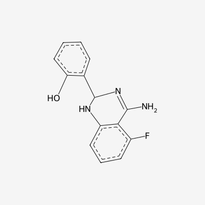 NC1=NC(c2ccccc2O)Nc2cccc(F)c21